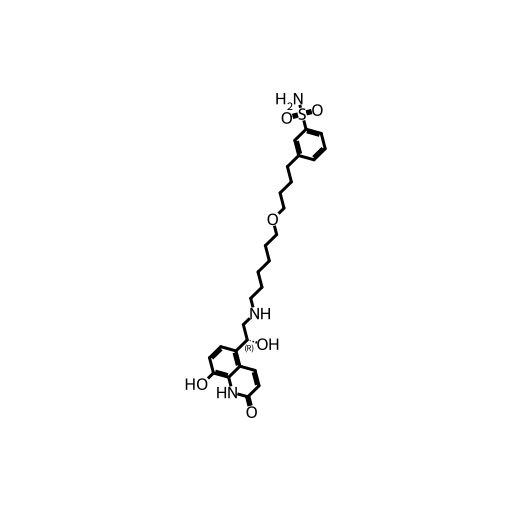 NS(=O)(=O)c1cccc(CCCCOCCCCCCNC[C@H](O)c2ccc(O)c3[nH]c(=O)ccc23)c1